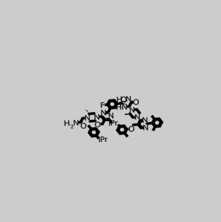 Cc1ccc(C(C)C)cc1OCc1cnc(-c2c(C)cccc2C)nc1N1CCN(C(NC(=O)c2ccc(F)c(-c3nc(C)c(COc4cc(C(C)C)ccc4C)c(N4CCN(CC(N)=O)[C@H](C)C4)n3)c2)C(N)=O)[C@H](C)C1